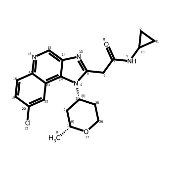 C[C@@H]1C[C@H](n2c(CC(=O)NC3CC3)nc3cnc4ccc(Cl)cc4c32)CCO1